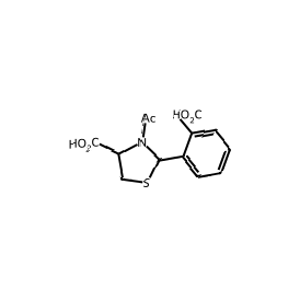 CC(=O)N1C(C(=O)O)CSC1c1ccccc1C(=O)O